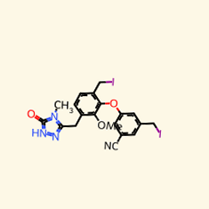 COc1c(Cc2n[nH]c(=O)n2C)ccc(CI)c1Oc1cc(C#N)cc(CI)c1